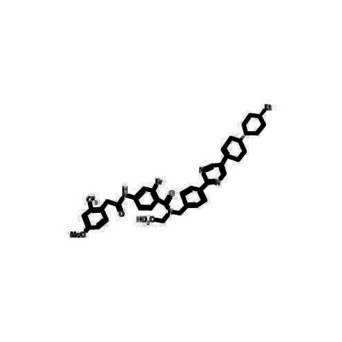 CC[C@H]1CC[C@H](C2CC=C(c3cnc(-c4ccc(CN(CC(=O)O)C(=O)c5ccc(NC(=O)Cc6ccc(OC)cc6C(F)(F)F)cc5Br)cc4)nc3)CC2)CC1